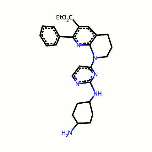 CCOC(=O)c1cc2c(nc1-c1ccccc1)N(c1ccnc(NC3CCC(N)CC3)n1)CCC2